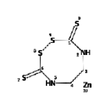 S=C1NCCNC(=S)SS1.[Zn]